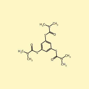 CN(C)C(=O)Sc1cc(SC(=O)N(C)C)cc(SC(=O)N(C)C)c1